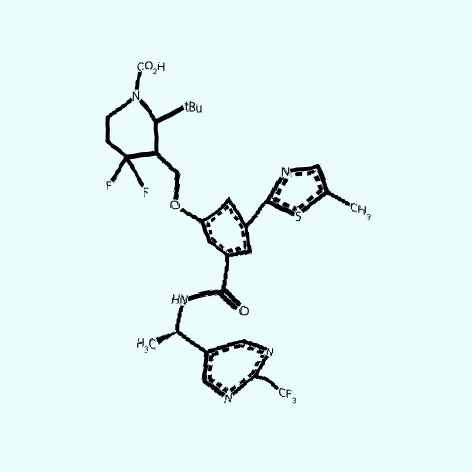 Cc1cnc(-c2cc(OCC3C(C(C)(C)C)N(C(=O)O)CCC3(F)F)cc(C(=O)N[C@H](C)c3cnc(C(F)(F)F)nc3)c2)s1